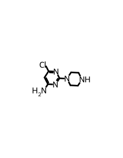 Nc1cc(Cl)nc(N2CCNCC2)n1